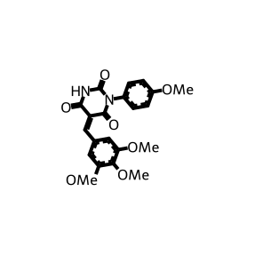 COc1ccc(N2C(=O)NC(=O)C(=Cc3cc(OC)c(OC)c(OC)c3)C2=O)cc1